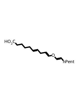 CCCCCC=CO/C=C/C/C=C/CCCCC(=O)O